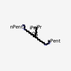 CCCCC/C=C\C/C=C\CCCCCCCCC(CCCCCCCC/C=C\C/C=C\CCCCC)OC(=O)CCCN(C(C)C)C(C)C